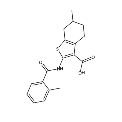 Cc1ccccc1C(=O)Nc1sc2c(c1C(=O)O)CCC(C)C2